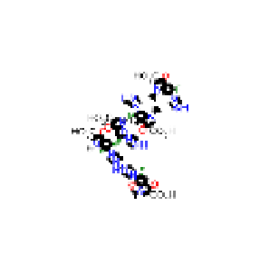 CCn1cc(C(=O)O)c(=O)c2cc(F)c(N3CCNC(C)C3)c(F)c21.CCn1cc(C(=O)O)c(=O)c2cc(F)c(N3CCNCC3)nc21.C[C@H]1COc2c(N3CCN(C)CC3)c(F)cc3c(=O)c(C(=O)O)cn1c23.Cc1c(F)c(N2CCNC(C)C2)cc2c1c(=O)c(C(=O)O)cn2C1CC1.O=C(O)c1cn(C2CC2)c2cc(N3CCNCC3)c(F)cc2c1=O